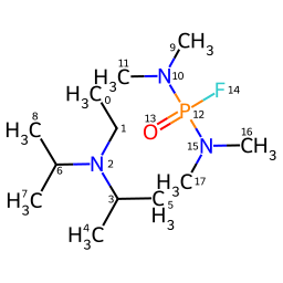 CCN(C(C)C)C(C)C.CN(C)P(=O)(F)N(C)C